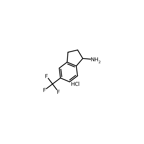 Cl.NC1CCc2cc(C(F)(F)F)ccc21